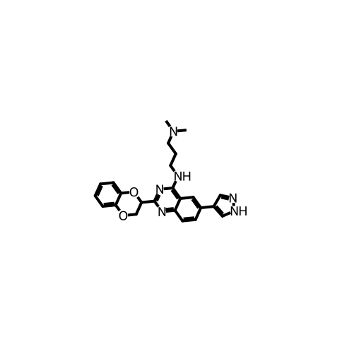 CN(C)CCCNc1nc(C2COc3ccccc3O2)nc2ccc(-c3cn[nH]c3)cc12